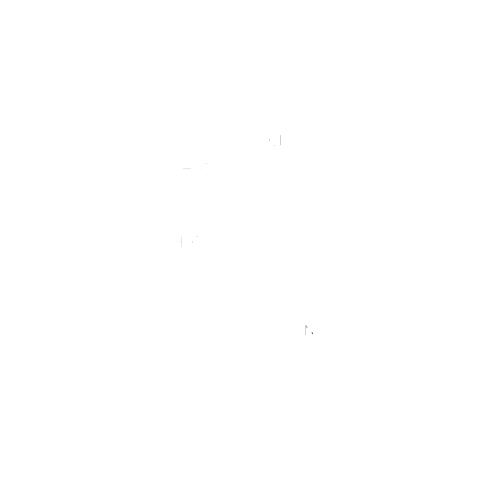 Cc1cc2c(c(C)c1C)-c1cccnc1C2